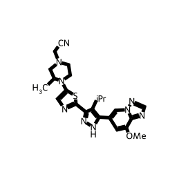 COc1cc(-c2[nH]nc(-c3ncc(N4CCN(CC#N)CC4C)s3)c2C(C)C)cn2ncnc12